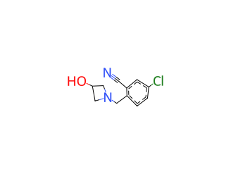 N#Cc1cc(Cl)ccc1CN1CC(O)C1